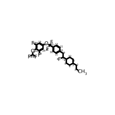 CCCC1CCC(C(F)Cc2ccc(C(F)(F)Oc3cc(F)c(OC(F)F)c(F)c3)cc2)CC1